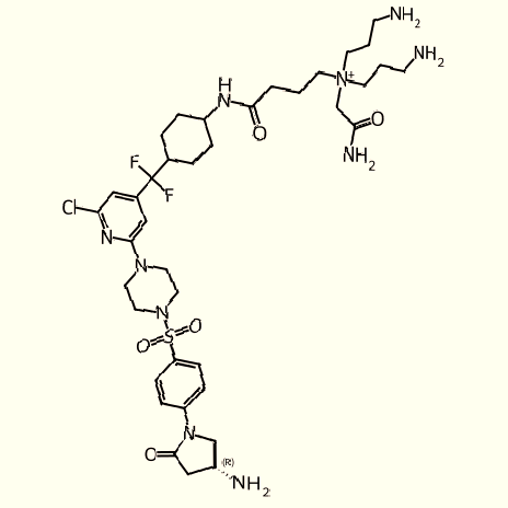 NCCC[N+](CCCN)(CCCC(=O)NC1CCC(C(F)(F)c2cc(Cl)nc(N3CCN(S(=O)(=O)c4ccc(N5C[C@H](N)CC5=O)cc4)CC3)c2)CC1)CC(N)=O